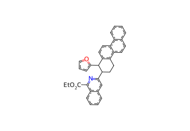 CCOC(=O)c1nc(C2CCc3c(ccc4c3ccc3ccccc34)C2c2ccco2)cc2ccccc12